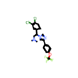 CN(C)CC(c1ccc(Cl)c(Cl)c1)n1cnc(-c2ccc(OC(F)(F)F)cc2)c1